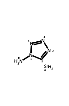 Nn1cnnn1.[SrH2]